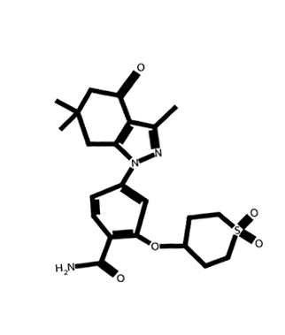 Cc1nn(-c2ccc(C(N)=O)c(OC3CCS(=O)(=O)CC3)c2)c2c1C(=O)CC(C)(C)C2